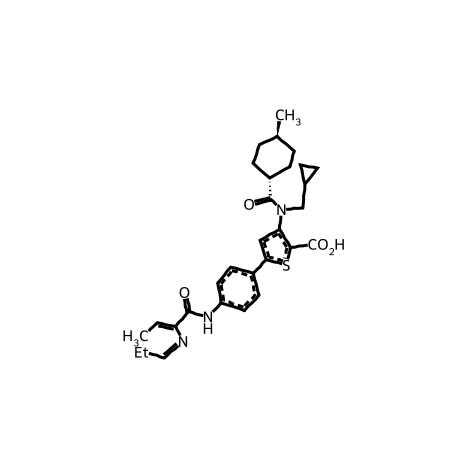 C/C=C(\N=C/CC)C(=O)Nc1ccc(-c2cc(N(CC3CC3)C(=O)[C@H]3CC[C@H](C)CC3)c(C(=O)O)s2)cc1